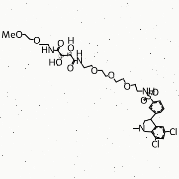 COCCOCCNC(=O)[C@@H](O)[C@H](O)C(=O)NCCOCCOCCOCCNS(=O)(=O)c1cccc(C2CN(C)Cc3c(Cl)cc(Cl)cc32)c1